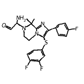 CC1(C)c2nc(-c3ccc(F)cc3)c(Sc3ccc(F)c(F)c3)n2CCN1C(N)C=O